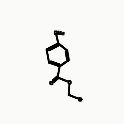 COc1ccc(C(=O)OC[O])cc1